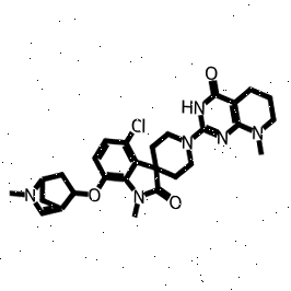 CN1CCCc2c1nc(N1CCC3(CC1)C(=O)N(C)c1c(OC4CC5CC4=CN5C)ccc(Cl)c13)[nH]c2=O